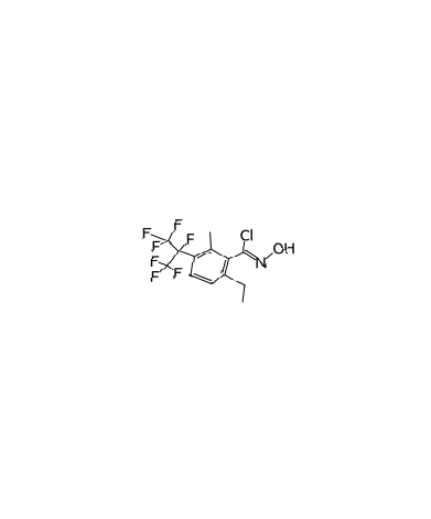 CCc1ccc(C(F)(C(F)(F)F)C(F)(F)F)c(C)c1C(Cl)=NO